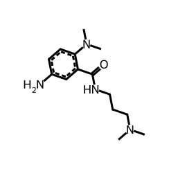 CN(C)CCCNC(=O)c1cc(N)ccc1N(C)C